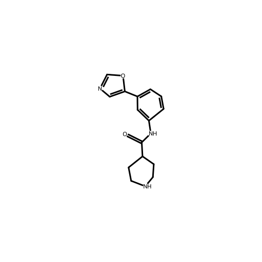 O=C(Nc1cccc(-c2cnco2)c1)C1CCNCC1